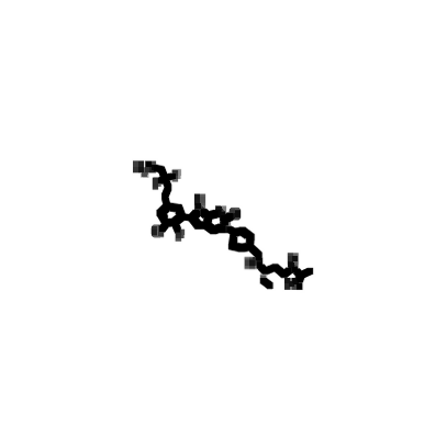 CC[C@@H](CCNC(C)=N)NCc1ccc(-n2cc3cc(-c4cc(CCC(F)(F)CN)cc(Cl)c4F)[nH]c3nc2=O)cc1